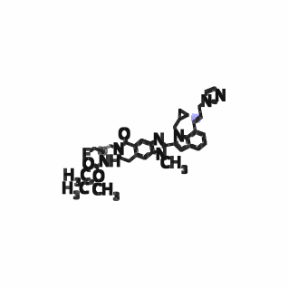 Cn1c(-c2cc3cccc(/C=C/Cn4ccnc4)c3n2CC2CC2)nc2cc3c(cc21)CCN(C[C@@H](CF)NC(=O)OC(C)(C)C)C3=O